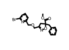 COC(=O)C1(Cc2ccccc2)CC(COCc2cccc(Br)n2)=NO1